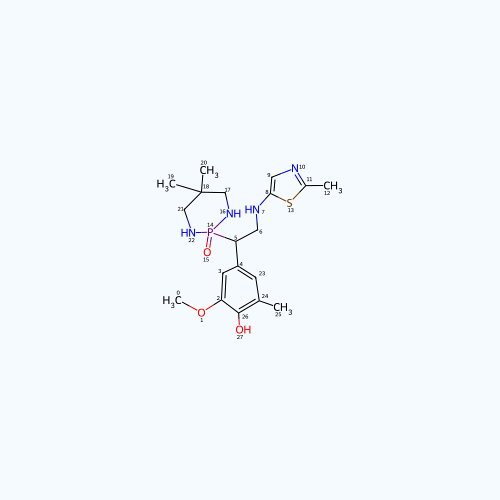 COc1cc(C(CNc2cnc(C)s2)P2(=O)NCC(C)(C)CN2)cc(C)c1O